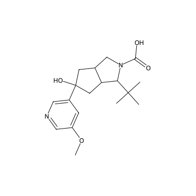 COc1cncc(C2(O)CC3CN(C(=O)O)C(C(C)(C)C)C3C2)c1